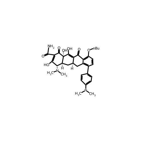 CCCCOc1ccc(-c2ccc(N(C)C)cc2)c2c1C(=O)C1=C(O)[C@]3(O)C(=O)C(C(N)=O)=C(O)[C@@H](N(C)C)[C@@H]3C[C@@H]1C2